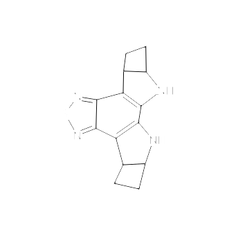 C1CC2c3c(c4c(c5nsnc35)C3CCC3N4)NC12